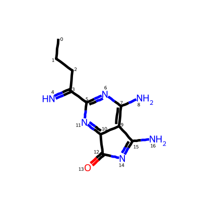 CCCC(=N)c1nc(N)c2c(n1)C(=O)N=C2N